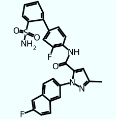 Cc1cc(C(=O)Nc2ccc(-c3ccccc3S(N)(=O)=O)cc2F)n(-c2ccc3cc(F)ccc3c2)n1